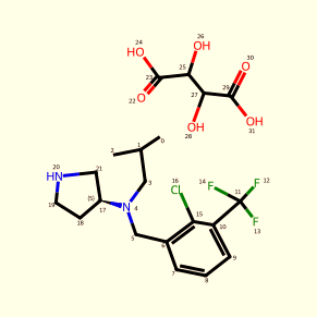 CC(C)CN(Cc1cccc(C(F)(F)F)c1Cl)[C@H]1CCNC1.O=C(O)C(O)C(O)C(=O)O